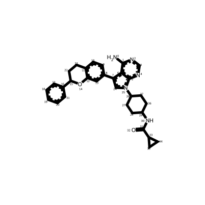 Nc1ncnc2c1c(-c1ccc3c(c1)OC(c1ccccc1)CC3)cn2C1CCC(NC(=O)C2CC2)CC1